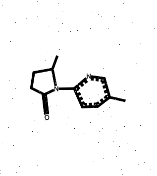 Cc1ccc(N2C(=O)CCC2C)nc1